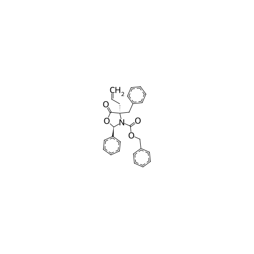 C=CC[C@@]1(Cc2ccccc2)C(=O)O[C@H](c2ccccc2)N1C(=O)OCc1ccccc1